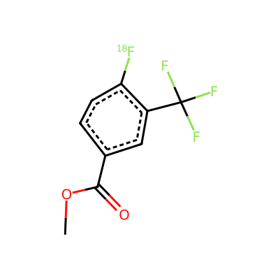 COC(=O)c1ccc([18F])c(C(F)(F)F)c1